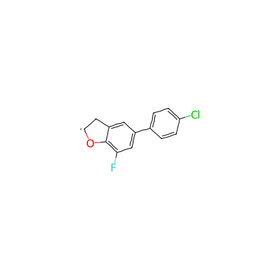 Fc1cc(-c2ccc(Cl)cc2)cc2c1O[CH]C2